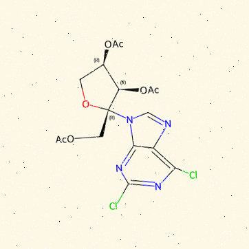 CC(=O)OC[C@@]1(n2cnc3c(Cl)nc(Cl)nc32)OC[C@@H](OC(C)=O)[C@H]1OC(C)=O